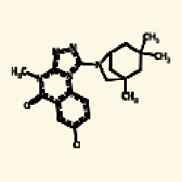 Cn1c(=O)c2cc(Cl)ccc2n2c(N3CC4(C)CC3CC(C)(C)C4)nnc12